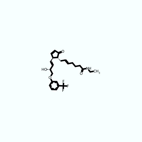 CCNC(=O)CCCC=CC[C@H]1C(=O)C=C[C@@H]1C=C[C@@H](O)COc1cccc(C(F)(F)F)c1